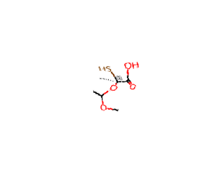 COC(C)O[C@@](C)(S)C(=O)O